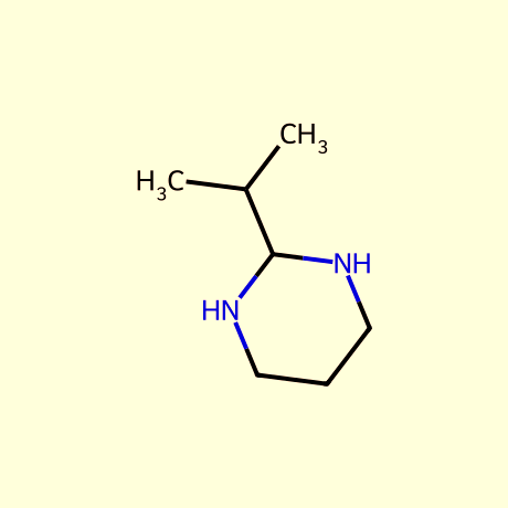 CC(C)C1NCCCN1